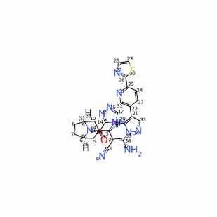 N#Cc1c([C@H]2C[C@H]3CC[C@@H](C2)N3C(=O)c2nnc[nH]2)nc2c(-c3ccc(-c4nccs4)nc3)cnn2c1N